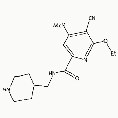 CCOc1nc(C(=O)NCC2CCNCC2)cc(NC)c1C#N